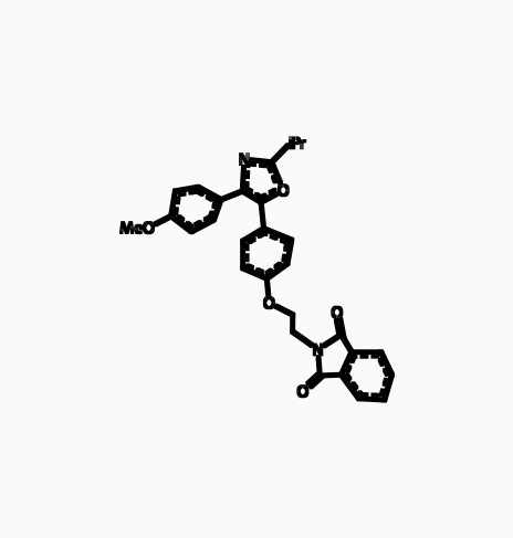 COc1ccc(-c2nc(C(C)C)oc2-c2ccc(OCCN3C(=O)c4ccccc4C3=O)cc2)cc1